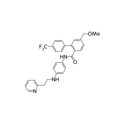 COCc1ccc(C(=O)Nc2ccc(NCCc3ccccn3)cc2)c(-c2ccc(C(F)(F)F)cc2)c1